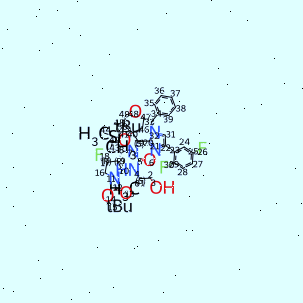 C[C@@H](CO)NC(=O)N(C[C@@H]1CN(C(=O)OC(C)(C)C)C[C@@H]1F)[C@@H](c1nc(-c2cc(F)ccc2F)cn1Cc1ccccc1)C1(O[Si](C)(C)C(C)(C)C)CCOCC1